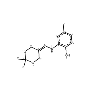 Cc1ccc(O)c(NC=C2COC(C)(C)OC2)c1